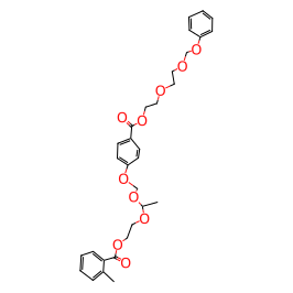 Cc1ccccc1C(=O)OCCOC(C)OCOc1ccc(C(=O)OCCOCCOCOc2ccccc2)cc1